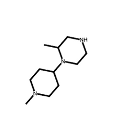 CC1CNCCN1C1CCN(C)CC1